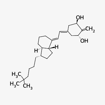 C=C1[C@H](O)CC(=C/C=C2\CCC[C@@H]3[C@@H](CCCCC(C)(C)C)CC[C@@H]23)C[C@H]1O